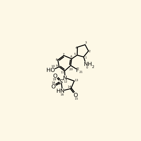 NC1CCCC1c1ccc(O)c(N2CC(=O)NS2(=O)=O)c1F